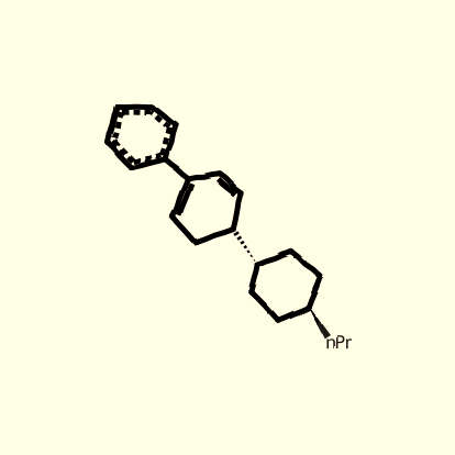 CCC[C@H]1CC[C@H](C2C=CC(c3ccccc3)=CC2)CC1